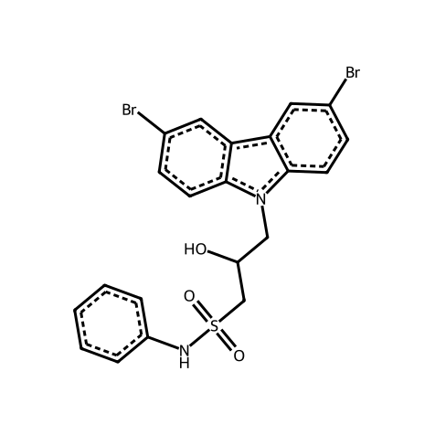 O=S(=O)(CC(O)Cn1c2ccc(Br)cc2c2cc(Br)ccc21)Nc1ccccc1